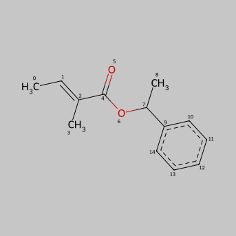 C/C=C(\C)C(=O)OC(C)c1ccccc1